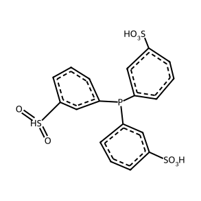 O=[SH](=O)c1cccc(P(c2cccc(S(=O)(=O)O)c2)c2cccc(S(=O)(=O)O)c2)c1